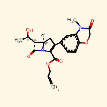 C=CCOC(=O)C1=C(c2ccc3c(c2)N(C)C(=O)CO3)C[C@@H]2[C@@H]([C@@H](C)O)C(=O)N12